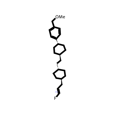 COCc1ccc([C@H]2CC[C@H](CC[C@H]3CC[C@H](C/C=C/F)CC3)CC2)cc1